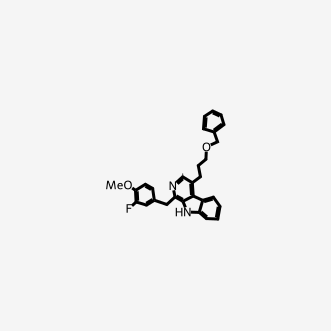 COc1ccc(Cc2n[c]c(CCCOCc3ccccc3)c3c2[nH]c2ccccc23)cc1F